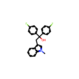 Cn1cc(CC(O)(c2ccc(F)cc2)c2ccc(F)cc2)c2ccccc21